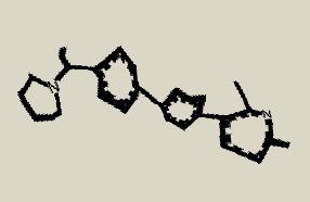 Cc1ccc(-c2ccc(-c3ccc(C(C)N4CCCC4)cc3)cc2)c(C)n1